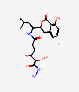 CC(C)CC(NC(=O)CCC(O)C(O)C(=O)NN)C1Cc2cccc(O)c2C(=O)O1.Cl